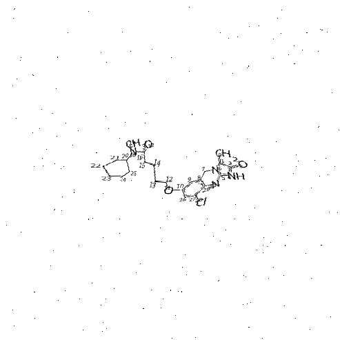 C=c1c(=O)[nH]c2n1Cc1cc(OCCCCC(=O)N(C)C3CCCCC3)cc(Cl)c1N=2